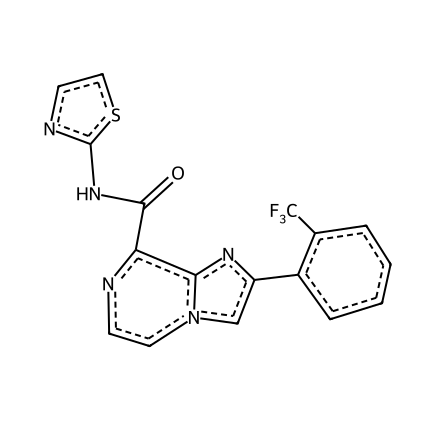 O=C(Nc1nccs1)c1nccn2cc(-c3ccccc3C(F)(F)F)nc12